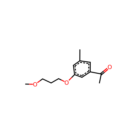 COCCCOc1cc(C)cc(C(C)=O)c1